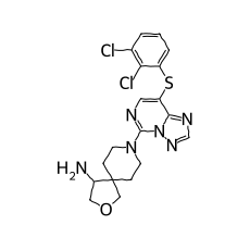 NC1COCC12CCN(c1ncc(Sc3cccc(Cl)c3Cl)c3ncnn13)CC2